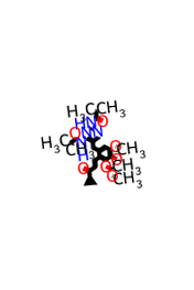 COCOc1c(C=CC(=O)C2CC2)c(Cc2cnc(NC(=O)C(C)C)nc2NC(=O)C(C)C)cc(OC)c1OC